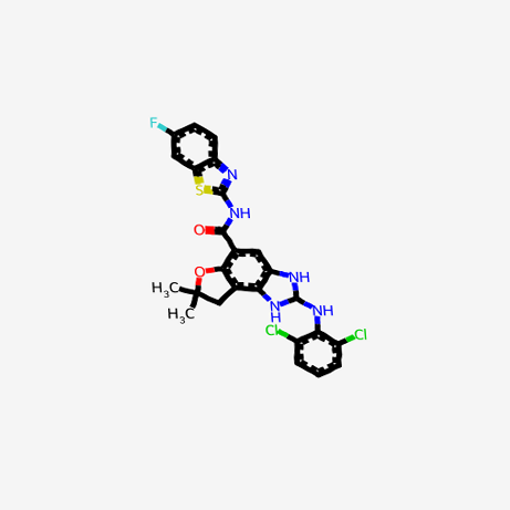 CC1(C)Cc2c3c(cc(C(=O)Nc4nc5ccc(F)cc5s4)c2O1)NC(Nc1c(Cl)cccc1Cl)N3